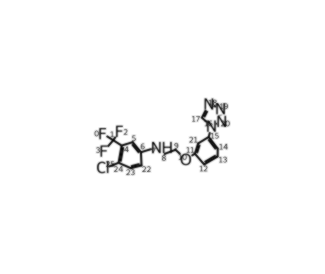 FC(F)(F)c1cc(NCCOc2cccc(-n3cnnn3)c2)ccc1Cl